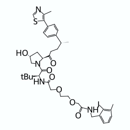 Cc1cccc(CNC(=O)COCCOCC(=O)N[C@H](C(=O)N2C[C@H](O)C[C@H]2C(=O)CC[C@@H](C)c2ccc(-c3scnc3C)cc2)C(C)(C)C)c1I